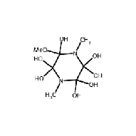 COC1(O)N(C)C(O)(O)C(O)(O)N(C)C1(O)O